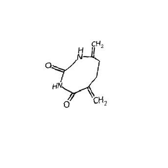 C=C1CCC(=C)C(=O)NC(=O)N1